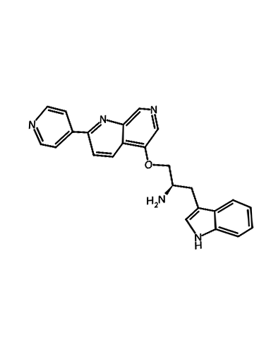 N[C@@H](COc1cncc2nc(-c3ccncc3)ccc12)Cc1c[nH]c2ccccc12